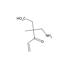 C=CC(=O)C(C)(CN)CC(=O)O